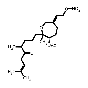 CC(=O)O[C@@H]1CC/C(=C\CO[N+](=O)[O-])CO[C@@]1(C)CCCC(C)C(=O)CC=C(C)C